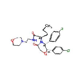 CCC[C@H](C(=O)NCCN1CCOCC1)N1C(=O)CO[C@@H](c2ccc(Cl)cc2)[C@H]1c1ccc(Cl)cc1